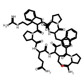 CCC(C)C(NC(=O)C(CCC(N)=O)NC(=O)C1CCCN1C(=O)C(CCCNC(=N)N)NC(=O)C1CCCN1C(=O)C(Cc1c[nH]c2ccccc12)NC(=O)OCc1ccccc1)C(=O)N1CCCC1C(=O)N1CCCC1C(N)=O